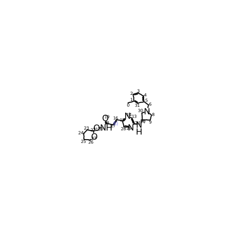 Cc1cccc(CN2CC[C@@H](Nc3cnc(/C=C/C(=O)NOC4CCCCO4)cn3)C2)c1